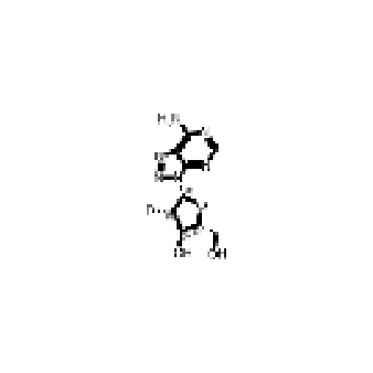 Nc1ncnc2c1nnn2[C@@H]1O[C@H](CO)[C@@H](O)[C@@H]1F